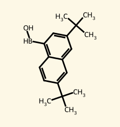 CC(C)(C)c1ccc2c(BO)cc(C(C)(C)C)cc2c1